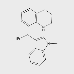 CC(C)C(c1cccc2c1NCCC2)c1cn(C)c2ccccc12